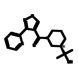 CC(C)(O)[C@@H]1CCCN(C(=O)c2conc2-c2ccccn2)C1